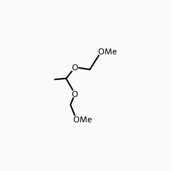 COCOC(C)OCOC